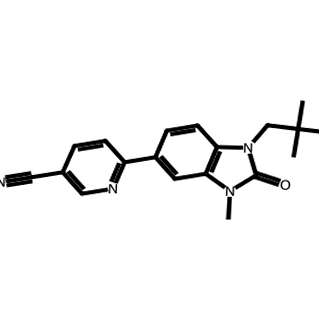 Cn1c(=O)n(CC(C)(C)C)c2ccc(-c3ccc(C#N)cn3)cc21